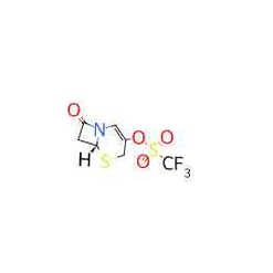 O=C1C[C@H]2SCC(OS(=O)(=O)C(F)(F)F)=CN12